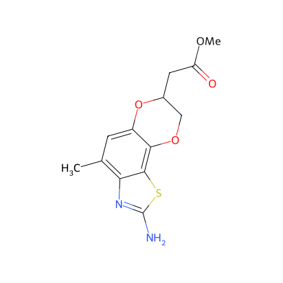 COC(=O)CC1COc2c(cc(C)c3nc(N)sc23)O1